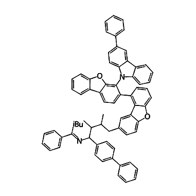 CCC(C)/C(=N\C(c1ccc(-c2ccccc2)cc1)C(C)C(C)Cc1ccc2oc3cccc(-c4ccc5c(oc6ccccc65)c4-n4c5ccccc5c5cc(-c6ccccc6)ccc54)c3c2c1)c1ccccc1